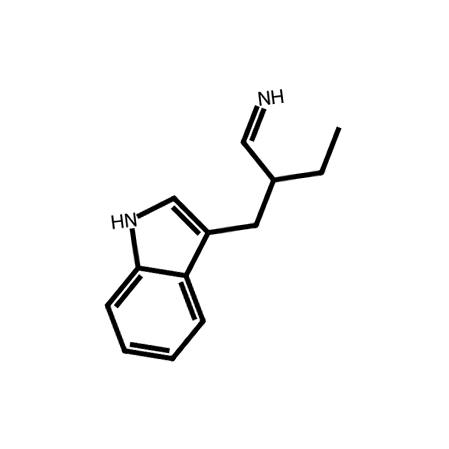 CCC(C=N)Cc1c[nH]c2ccccc12